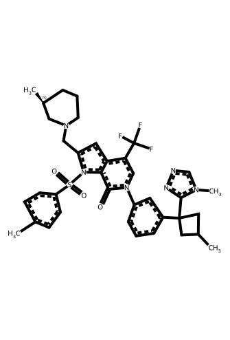 Cc1ccc(S(=O)(=O)n2c(CN3CCC[C@H](C)C3)cc3c(C(F)(F)F)cn(-c4cccc(C5(c6nncn6C)CC(C)C5)c4)c(=O)c32)cc1